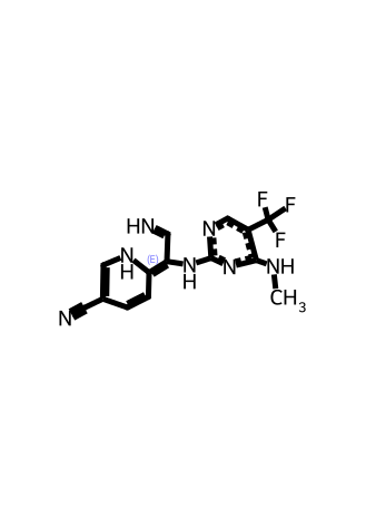 CNc1nc(N/C(C=N)=C2\C=CC(C#N)=CN2)ncc1C(F)(F)F